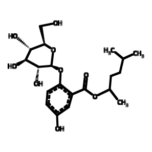 CC(C)CCC(C)OC(=O)c1cc(O)ccc1O[C@@H]1O[C@H](CO)[C@@H](O)[C@H](O)[C@H]1O